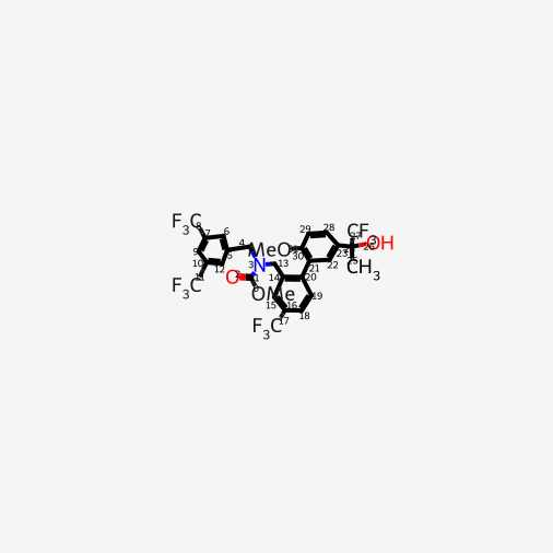 COC(=O)N(Cc1cc(C(F)(F)F)cc(C(F)(F)F)c1)Cc1cc(C(F)(F)F)ccc1-c1cc(C(C)(O)C(F)(F)F)ccc1OC